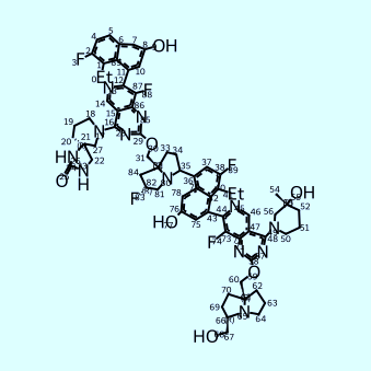 CCc1c(F)ccc2cc(O)cc(-c3ncc4c(N5CCC[C@@]6(CNC(=O)N6)C5)nc(OC[C@@]56CCC(c7cc(F)c(CC)c8c(-c9ncc%10c(N%11CCC[C@@](C)(O)C%11)nc(OC[C@@]%11%12CCCN%11[C@@H](CO)CC%12)nc%10c9F)cc(O)cc78)N5C[C@H](F)C6)nc4c3F)c12